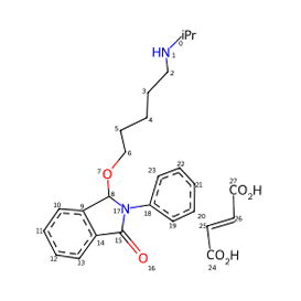 CC(C)NCCCCCOC1c2ccccc2C(=O)N1c1ccccc1.O=C(O)C=CC(=O)O